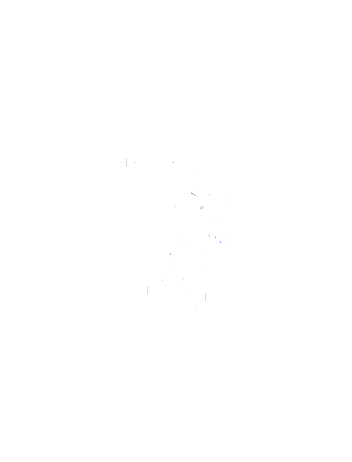 Cc1ccc([C@H]2C[C@@H]2NC(=O)OC(C)(C)C)cc1